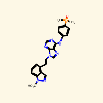 CP(C)(=O)c1ccc(Nc2ncnc3c2ncn3C=Cc2cccc3c2cnn3C(=O)O)cc1